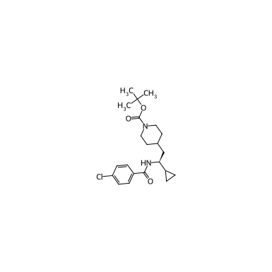 CC(C)(C)OC(=O)N1CCC(C[C@H](NC(=O)c2ccc(Cl)cc2)C2CC2)CC1